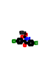 CC(C)(C)OC(=O)N[C@@H](C(=O)c1ccc(Cl)cc1)c1ccc(Cl)cc1